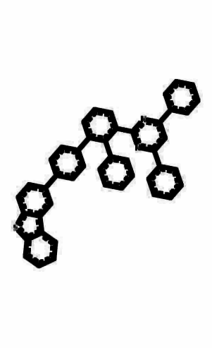 c1ccc(-c2cc(-c3ccccc3)nc(-c3cccc(-c4ccc(-c5ccc6sc7ccccc7c6c5)cc4)c3-c3ccccc3)n2)cc1